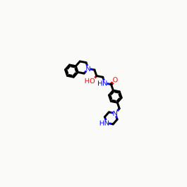 O=C(NCC(O)CN1CCc2ccccc2C1)c1ccc(CN2CCNCC2)cc1